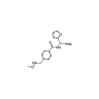 CONCc1ccc(C(=O)NC(C#N)c2ccco2)cc1